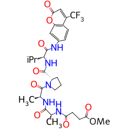 COC(=O)CCC(=O)N[C@@H](C)C(=O)N[C@@H](C)C(=O)N1CCC[C@H]1C(=O)N[C@H](C(=O)Nc1ccc2c(C(F)(F)F)cc(=O)oc2c1)C(C)C